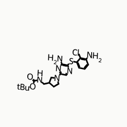 CC(C)(C)OC(=O)NCC1CCN(c2cnc(Sc3cccc(N)c3Cl)c(N)n2)C1